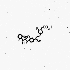 COc1cc(N(CCN2CCC(CC(=O)O)C(F)C2)C(C)=O)ccc1N(C)C(=O)Nc1ccccc1C